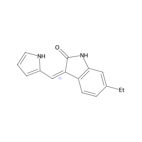 CCc1ccc2c(c1)NC(=O)/C2=C\c1ccc[nH]1